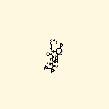 CCCCn1c(=O)/c(=N/NNC(=O)C2(C3CC3)CC2)[nH]c2ncc(Br)cc21